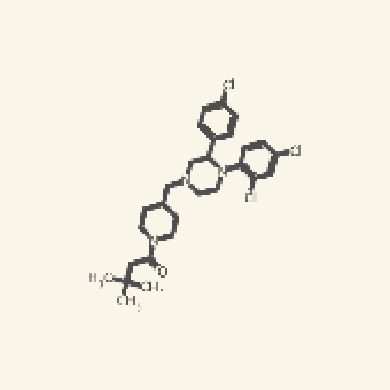 CC(C)(C)CC(=O)N1CCC(CN2CCN(c3ccc(Cl)cc3Cl)C(c3ccc(Cl)cc3)C2)CC1